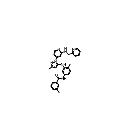 Cc1cccc(C(=O)Nc2ccc(C)c(Nc3cc(C)nn3-c3cc(NCc4ccccn4)ncn3)c2)c1